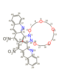 O=[N+]([O-])c1ccc(N2OCCOCCOCCOCCON2c2ccc([N+](=O)[O-])c3cc4ccccc4nc23)c2nc3ccccc3cc12